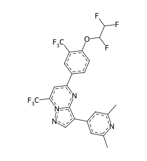 Cc1cc(-c2cnn3c(C(F)(F)F)cc(-c4ccc(OC(F)C(F)F)c(C(F)(F)F)c4)nc23)cc(C)n1